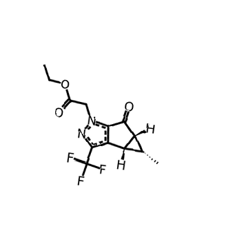 CCOC(=O)Cn1nc(C(F)(F)F)c2c1C(=O)[C@@H]1[C@H](C)[C@H]21